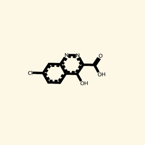 O=C(O)c1nnc2cc(Cl)ccc2c1O